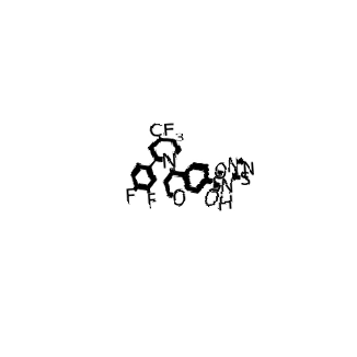 O=S(=O)(Nc1ncns1)c1ccc2c(c1)OCCC2N1CC[C@@H](C(F)(F)F)C[C@@H]1c1ccc(F)c(F)c1